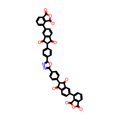 O=C1OC(=O)c2c1cccc2-c1ccc2c(c1)C(=O)C(c1ccc(-c3nnc(-c4ccc(C5C(=O)c6ccc(-c7cccc8c7C(=O)OC8=O)cc6C5=O)cc4)o3)cc1)C2=O